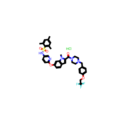 Cc1cc(C)c(S(=O)(=O)Nc2ccc(Oc3ccc4cc(C(=O)N5CCN(Cc6ccc(OCC(F)(F)F)cc6)CC5)n(C)c4c3)nc2)c(C)c1.Cl